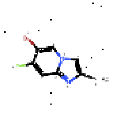 CC(=O)Nc1cn2cc(Br)c(F)cc2n1